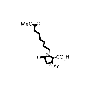 COC(=O)CCCCCC[C@@H]1C(=O)C[C@H](C(C)=O)[C@H]1C(=O)O